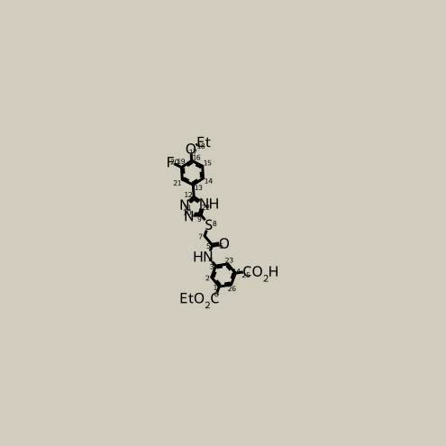 CCOC(=O)c1cc(NC(=O)CSc2nnc(-c3ccc(OCC)c(F)c3)[nH]2)cc(C(=O)O)c1